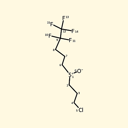 [O-][S+](CCCCl)CCCC(F)(F)C(F)(F)F